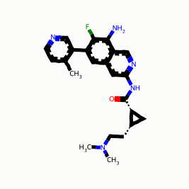 Cc1ccncc1-c1cc2cc(NC(=O)[C@@H]3C[C@@H]3CCN(C)C)ncc2c(N)c1F